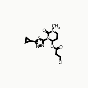 CN1CCC(OC(=O)CCCl)N(c2nnc(C3CC3)s2)C1=O